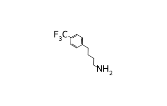 NCCCCc1ccc(C(F)(F)F)cc1